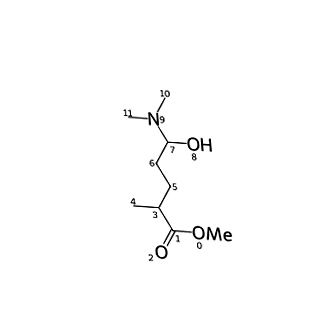 COC(=O)C(C)CCC(O)N(C)C